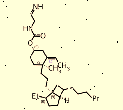 C/C=C1/C[C@@H](OC(=O)NCC=N)CC[C@]1(C)CCC[C@]12CC(CCCC(C)C)[C@H]1CC[C@H]2CC